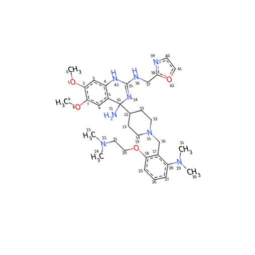 COc1cc2c(cc1OC)C(N)(C1CCN(Cc3c(OCCN(C)C)cccc3N(C)C)CC1)N=C(NCc1ncco1)N2